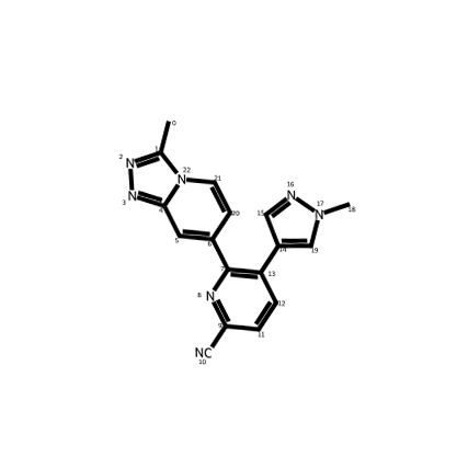 Cc1nnc2cc(-c3nc(C#N)ccc3-c3cnn(C)c3)ccn12